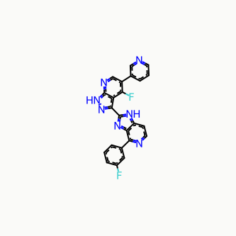 Fc1cccc(-c2nccc3[nH]c(-c4n[nH]c5ncc(-c6cccnc6)c(F)c45)nc23)c1